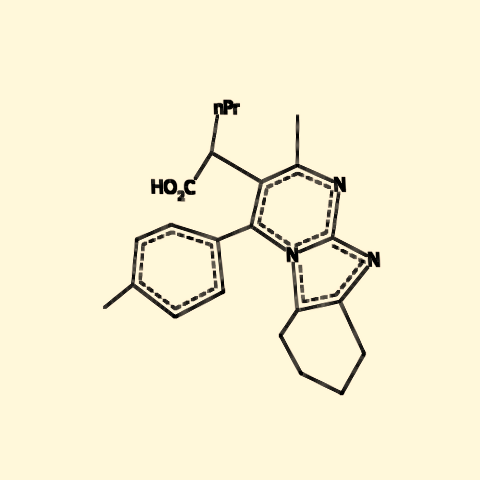 CCCC(C(=O)O)c1c(C)nc2nc3c(n2c1-c1ccc(C)cc1)CCCC3